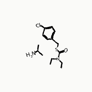 CC(C)N.CCN(CC)C(=O)SCc1ccc(Cl)cc1